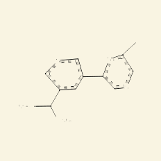 COC(OC)c1cncc(-c2cncc(Cl)n2)c1